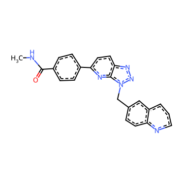 CNC(=O)c1ccc(-c2ccc3nnn(Cc4ccc5ncccc5c4)c3n2)cc1